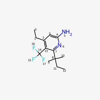 CCc1cc(N)nc(C(C)(C)CC)c1C(F)(F)F